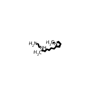 C=C(CCCCCC1CCCN1C)NCCN